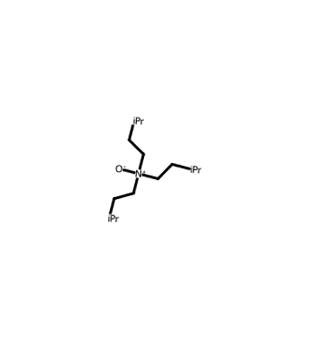 CC(C)CC[N+]([O-])(CCC(C)C)CCC(C)C